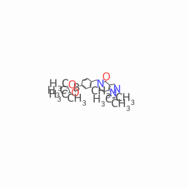 Cc1cc(B2OC(C)(C)C(C)(C)O2)ccc1CN1CCc2c(cnn2C(C)(C)C)C1=O